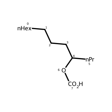 CCCCCCCCCC(CCC)OC(=O)O